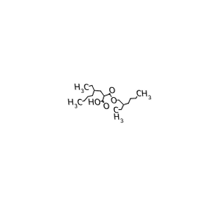 CCCCC(CC)COC(=O)C(CC(CC)CCCC)C(=O)O